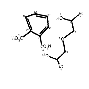 CCC(O)COCC(O)CC.O=C(O)c1ccccc1C(=O)O